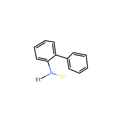 CCN(S)c1ccccc1-c1ccccc1